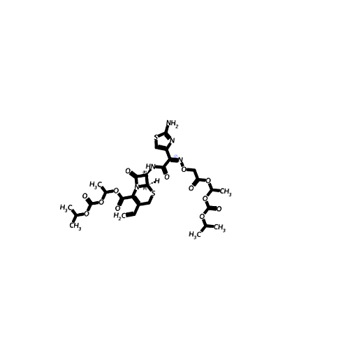 C=CC1=C(C(=O)OC(C)OC(=O)OC(C)C)N2C(=O)[C@@H](NC(=O)/C(=N\OCC(=O)OC(C)OC(=O)OC(C)C)c3csc(N)n3)[C@H]2SC1